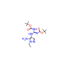 CCn1ncc(NC(=NC(=O)OC(C)(C)C)NC(=O)OC(C)(C)C)c1N